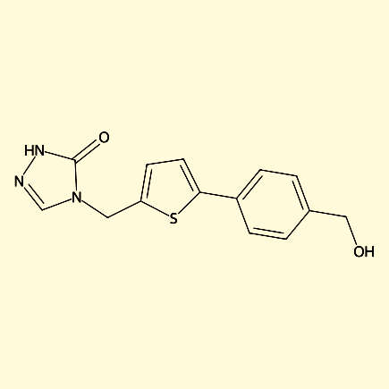 O=c1[nH]ncn1Cc1ccc(-c2ccc(CO)cc2)s1